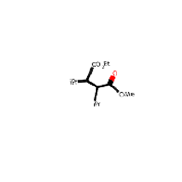 CCOC(=O)C(C(C)C)C(C(=O)OC)C(C)C